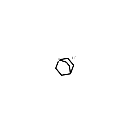 C1CN2CCC1CC2.F